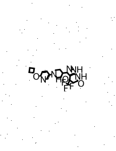 O=C1CC(O)(C(F)(F)F)c2c(C3CCN(c4ccc(OC5CCC5)nc4)CC3)n[nH]c2N1